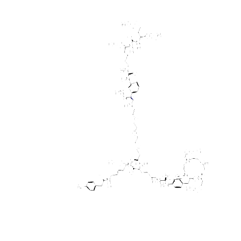 N=N/C(=C\NCCOCCOCCOCCC(=O)NC(CCCCNC(=S)Nc1ccc(CC2CN(CC(=O)O)CCNCCN(CC(=O)O)CCN2CC(=O)O)cc1)C(=O)NC(CCCCNC(=O)Cc1ccc(Br)cc1)C(=O)O)c1cccc(NC(=O)NCCCCC(NC(=O)NC(CCC(=O)O)C(=O)O)C(=O)O)c1